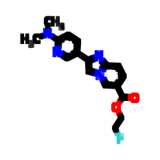 CN(C)c1ccc(-c2cn3cc(C(=O)OCCF)ccc3n2)cn1